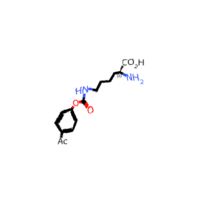 CC(=O)c1ccc(OC(=O)NCCCC[C@H](N)C(=O)O)cc1